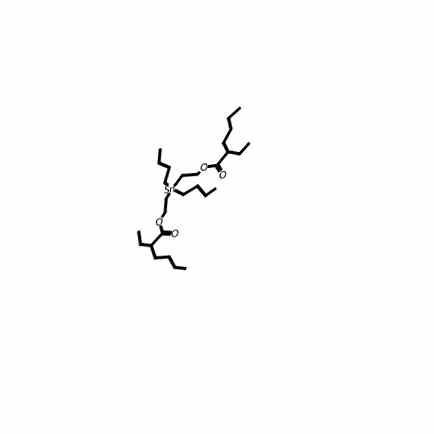 CCCCC(CC)C(=O)OC[CH2][Sn]([CH2]CCC)([CH2]CCC)[CH2]COC(=O)C(CC)CCCC